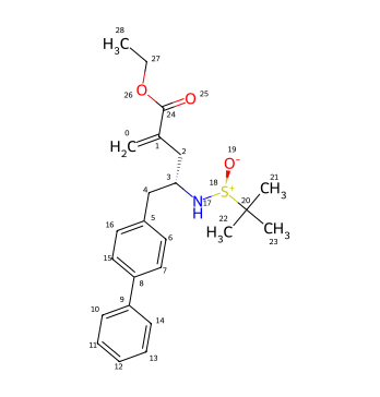 C=C(C[C@@H](Cc1ccc(-c2ccccc2)cc1)N[S@@+]([O-])C(C)(C)C)C(=O)OCC